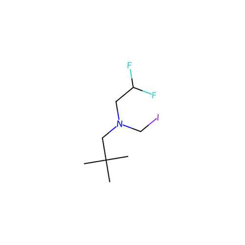 CC(C)(C)CN(CI)CC(F)F